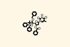 Cc1cn([C@H]2C[C@H](OC(=O)c3ccccc3)[C@@H](C(COCc3ccccc3)O[Si](c3ccccc3)(c3ccccc3)C(C)(C)C)O2)c(=O)[nH]c1=O